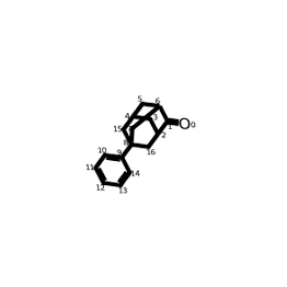 O=C1C2CC3CC1CC(c1ccccc1)(C3)C2